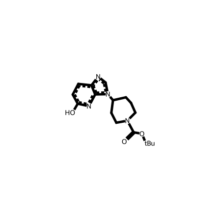 CC(C)(C)OC(=O)N1CCCC(n2cnc3ccc(O)nc32)CC1